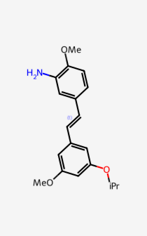 COc1cc(/C=C/c2ccc(OC)c(N)c2)cc(OC(C)C)c1